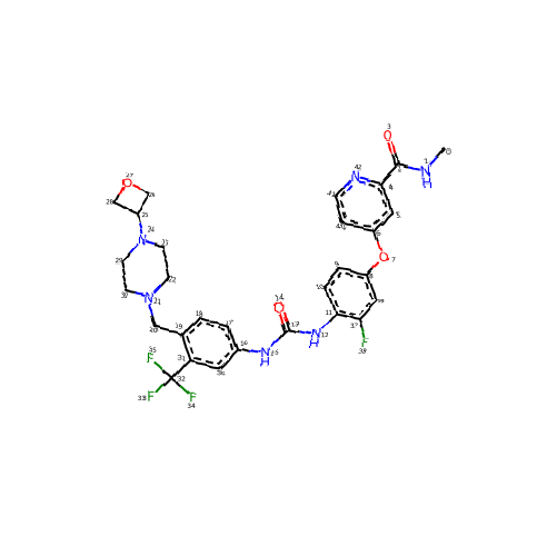 CNC(=O)c1cc(Oc2ccc(NC(=O)Nc3ccc(CN4CCN(C5COC5)CC4)c(C(F)(F)F)c3)c(F)c2)ccn1